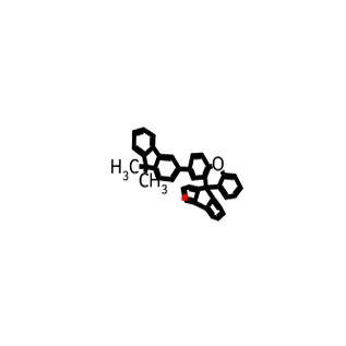 CC1(C)c2ccccc2-c2cc(-c3ccc4c(c3)C3(c5ccccc5O4)c4ccccc4-c4ccccc43)ccc21